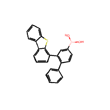 OB(O)c1ccc(-c2ccccc2)c(-c2cccc3c2sc2ccccc23)c1